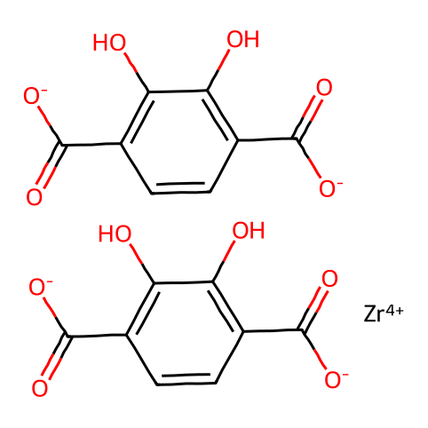 O=C([O-])c1ccc(C(=O)[O-])c(O)c1O.O=C([O-])c1ccc(C(=O)[O-])c(O)c1O.[Zr+4]